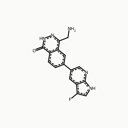 NCc1n[nH]c(=O)c2ccc(-c3cnc4[nH]cc(F)c4c3)cc12